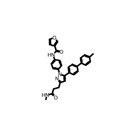 CNC(=O)CCc1cc(-c2ccc(-c3ccc(C)cc3)cc2)n(-c2ccc(NC(=O)c3ccoc3)cc2)n1